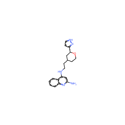 Nc1cc(NCCC2CCOC(c3cc[nH]n3)C2)c2ccccc2n1